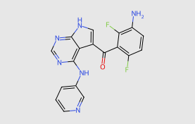 Nc1ccc(F)c(C(=O)c2c[nH]c3ncnc(Nc4cccnc4)c23)c1F